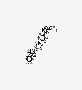 O=S(=O)(NCC1CCN(c2ccc(-c3noc(C(F)(F)F)n3)cn2)CC1)c1ccccc1